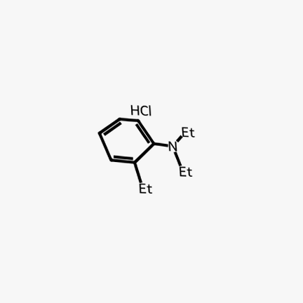 CCc1ccccc1N(CC)CC.Cl